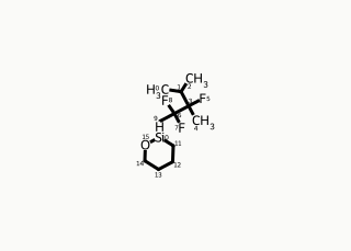 CC(C)C(C)(F)C(F)(F)C[SiH]1CCCCO1